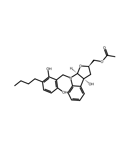 CCCCc1ccc(O)c(CN2c3ccccc3[C@]3(O)C[C@H](COC(C)=O)O[C@H]23)c1O